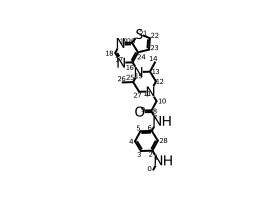 CNc1cccc(NC(=O)CN2CC(C)N(c3ncnc4sccc34)C(C)C2)c1